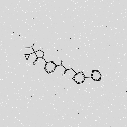 CN(C)[C@@]1(C2CC2)CCN(c2ccnc(NC(=O)Cc3cccc(-c4ccncc4)c3)c2)C1=O